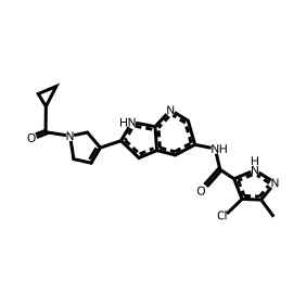 Cc1n[nH]c(C(=O)Nc2cnc3[nH]c(C4=CCN(C(=O)C5CC5)C4)cc3c2)c1Cl